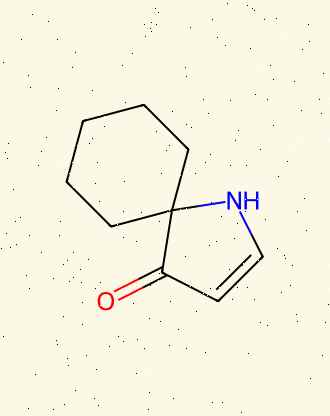 O=C1C=CNC12CCCCC2